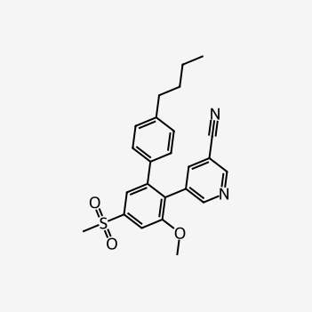 CCCCc1ccc(-c2cc(S(C)(=O)=O)cc(OC)c2-c2cncc(C#N)c2)cc1